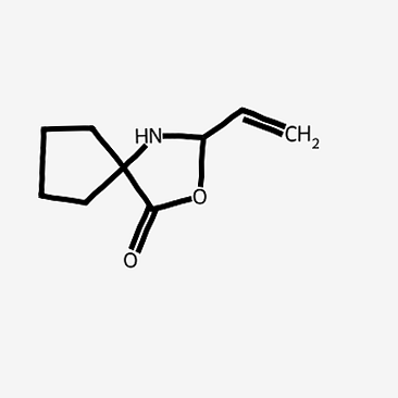 C=CC1NC2(CCCC2)C(=O)O1